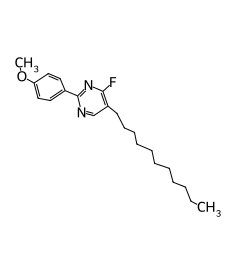 CCCCCCCCCCCc1cnc(-c2ccc(OC)cc2)nc1F